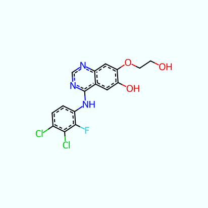 OCCOc1cc2ncnc(Nc3ccc(Cl)c(Cl)c3F)c2cc1O